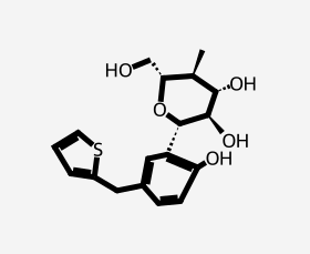 C[C@H]1[C@H](O)[C@@H](O)[C@H](c2cc(Cc3cccs3)ccc2O)O[C@@H]1CO